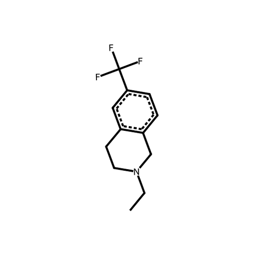 CCN1CCc2cc(C(F)(F)F)ccc2C1